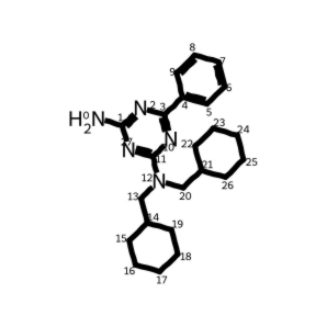 Nc1nc(-c2ccccc2)nc(N(CC2CCCCC2)CC2CCCCC2)n1